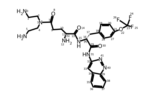 NCCN(CCN)C(=O)CC[C@H](N)C(=O)N[C@H](Cc1ccc(OC(F)(F)F)cc1)C(=O)Nc1cc2ccccc2nn1